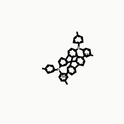 Cc1ccc(N(c2ccc(C)cc2)c2ccc3c(c2)C2(c4cc(C#N)ccc4-c4ccc(C#N)cc42)c2cc(N(c4ccc(C)cc4)c4ccc(C)cc4)ccc2-3)cc1